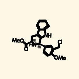 COC(=O)[C@H]1Cc2c([nH]c3ccccc23)[C@@H](c2ccc(OC)c(CCl)c2)N1